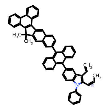 C=Cc1c(/C=C\C)n(-c2ccccc2)c2ccc(-c3c4ccccc4c(-c4ccc5cc6c(cc5c4)C(C)(C)c4c-6c5ccccc5c5ccccc45)c4ccccc34)cc12